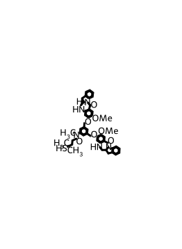 COc1cc2c(cc1OCc1cc(COc3cc4c(cc3OC)C(=O)N3c5ccccc5C[C@H]3CN4)cc(N(C)C(=O)CCC(C)(C)S)c1)NCC1Cc3ccccc3N1C2=O